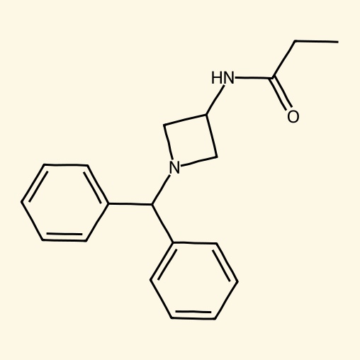 CCC(=O)NC1CN(C(c2ccccc2)c2ccccc2)C1